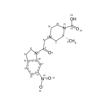 C[C@@H]1CN(CC(=O)N2CCc3ccc([N+](=O)[O-])cc32)CCN1C(=O)O